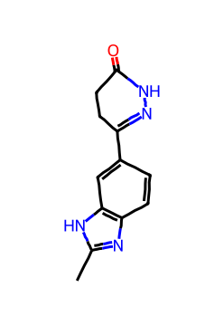 Cc1nc2ccc(C3=NNC(=O)CC3)cc2[nH]1